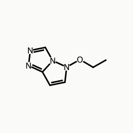 CCOn1ccc2nncn21